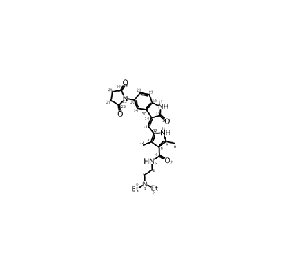 CCN(CC)CCNC(=O)c1c(C)[nH]c(/C=C2\C(=O)Nc3ccc(N4C(=O)CCC4=O)cc32)c1C